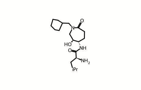 CC(C)C[C@H](N)C(=O)N[C@H]1CCC(=O)N(CC2CCCCC2)C[C@@H]1O